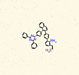 C/C=C\c1cccc(-c2ccc(-c3ccc4ccccc4c3-c3ccc(-c4nc(-c5ccccc5)nc(-c5ccccc5)n4)cc3)cc2)c1N